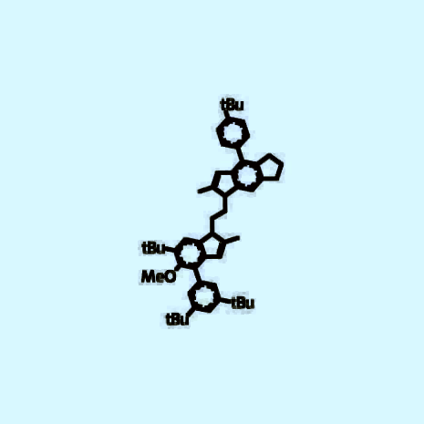 COc1c(C(C)(C)C)cc2c(c1-c1cc(C(C)(C)C)cc(C(C)(C)C)c1)C=C(C)C2CCC1C(C)=Cc2c1cc1c(c2-c2ccc(C(C)(C)C)cc2)CCC1